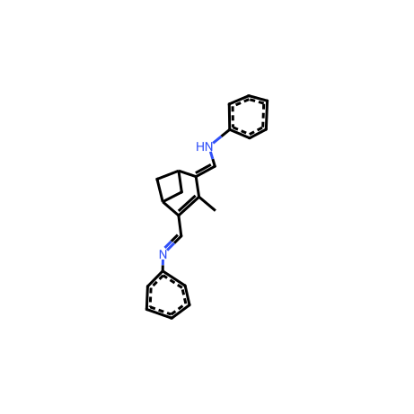 CC1=C(C=Nc2ccccc2)C2CC(C2)/C1=C\Nc1ccccc1